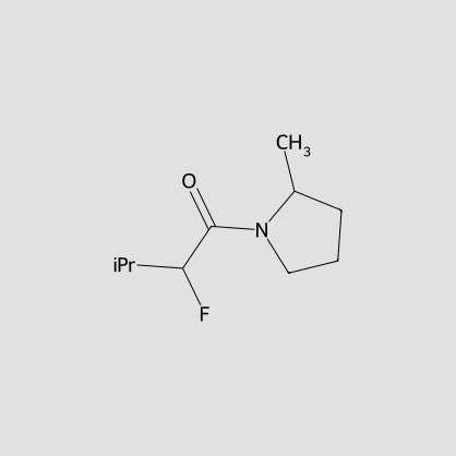 CC(C)C(F)C(=O)N1CCCC1C